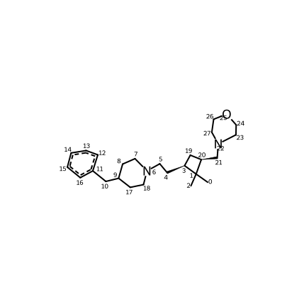 CC1(C)[C@@H](CCN2CCC(Cc3ccccc3)CC2)C[C@H]1CN1CCOCC1